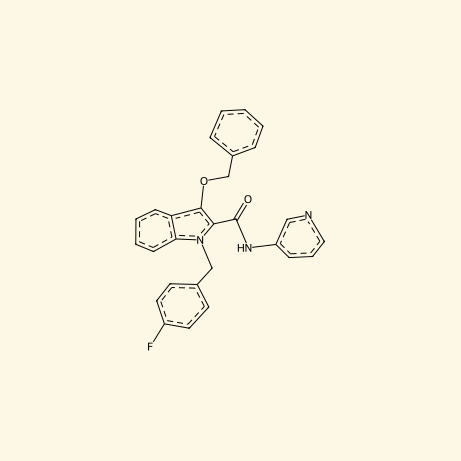 O=C(Nc1cccnc1)c1c(OCc2ccccc2)c2ccccc2n1Cc1ccc(F)cc1